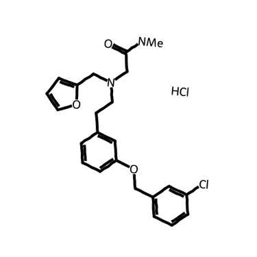 CNC(=O)CN(CCc1cccc(OCc2cccc(Cl)c2)c1)Cc1ccco1.Cl